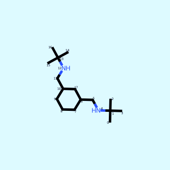 CC(C)(C)NCC1CCCC(CNC(C)(C)C)C1